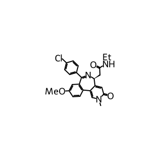 CCNC(=O)C[C@@H]1N=C(c2ccc(Cl)cc2)c2cc(OC)ccc2-c2cn(C)c(=O)cc21